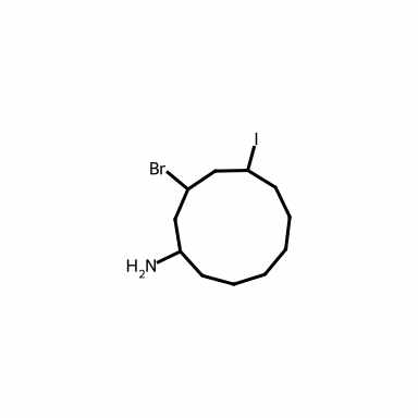 NC1CCCCCCC(I)CC(Br)C1